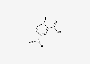 O=C(O)c1ccc(F)c(C(=O)O)c1